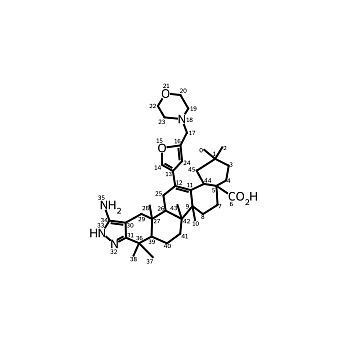 CC1(C)CCC2(C(=O)O)CCC3(C)C(=C(c4coc(CN5CCOCC5)c4)CC4C5(C)Cc6c(n[nH]c6N)C(C)(C)C5CCC43C)C2C1